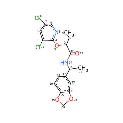 CCC(Oc1ncc(Cl)cc1Cl)C(=O)NC(C)c1ccc2c(c1)OCO2